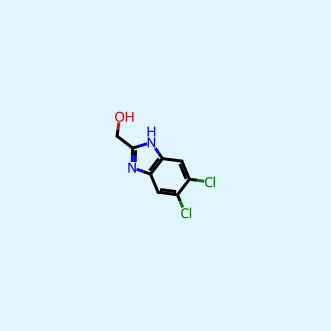 OCc1nc2cc(Cl)c(Cl)cc2[nH]1